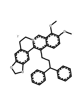 COc1ccc2c(CCC(c3ccccc3)c3ccccc3)c3[n+](cc2c1OC)CCc1cc2c(cc1-3)OCO2.[I-]